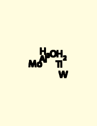 O.[AlH3].[Mo].[Ti].[W]